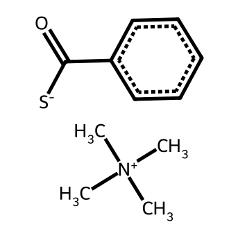 C[N+](C)(C)C.O=C([S-])c1ccccc1